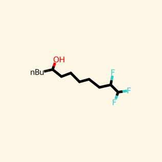 CCCCC(O)CCCCCC(F)C(F)F